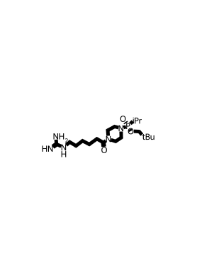 CC(C)P(=O)(OCC(C)(C)C)N1CCN(C(=O)CCCCCNC(=N)N)CC1